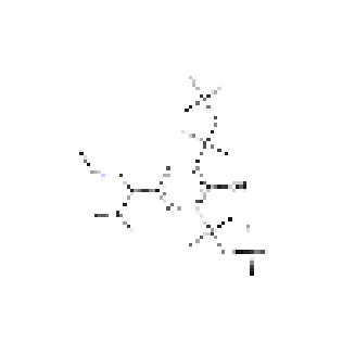 C/C=C/C(c1cc(C(C)(C)CC(C)(C)C)c(O)c(C(C)(C)CC(C)(C)C)c1)N(C)C